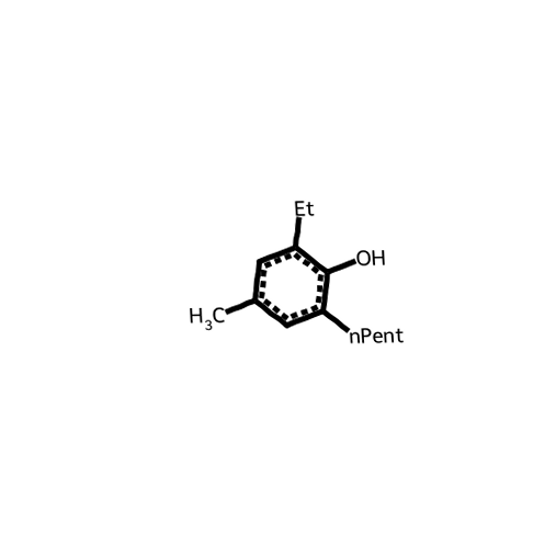 CCCCCc1cc(C)cc(CC)c1O